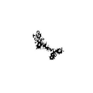 O=C1CCC(N2C(=O)c3cccc(NCCCCOCCNC(c4cccnc4)c4cc5ccccc5o4)c3C2=O)C(=O)N1